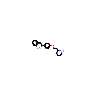 O=C(Cc1ccccc1Cl)c1ccc(OCCC2CCCCN2)cc1